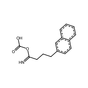 N=C(CCCc1ccc2ccccc2c1)OC(=O)O